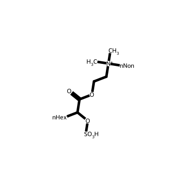 CCCCCCCCC[N+](C)(C)CCOC(=O)C(CCCCCC)OS(=O)(=O)O